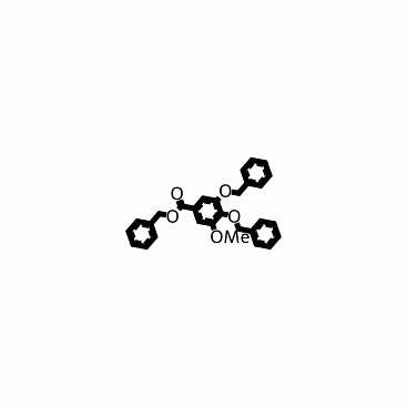 COc1cc(C(=O)OCc2ccccc2)cc(OCc2ccccc2)c1OCc1ccccc1